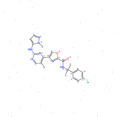 Cc1cnc(Nc2ccnn2C)nc1-c1coc(C(=O)NC(C)(C)c2ccc(F)cc2)n1